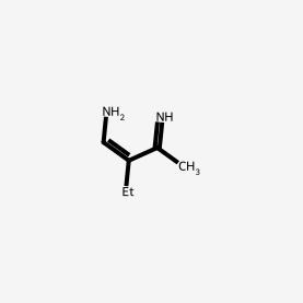 CC/C(=C/N)C(C)=N